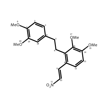 COc1ccc(CCc2c(C=C[N+](=O)[O-])ccc(OC)c2OC)cc1OC